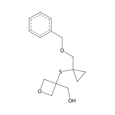 OCC1(SC2(COCc3ccccc3)CC2)COC1